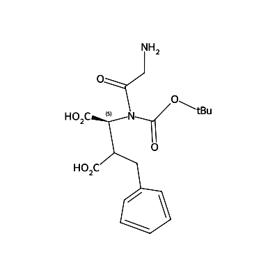 CC(C)(C)OC(=O)N(C(=O)CN)[C@H](C(=O)O)C(Cc1ccccc1)C(=O)O